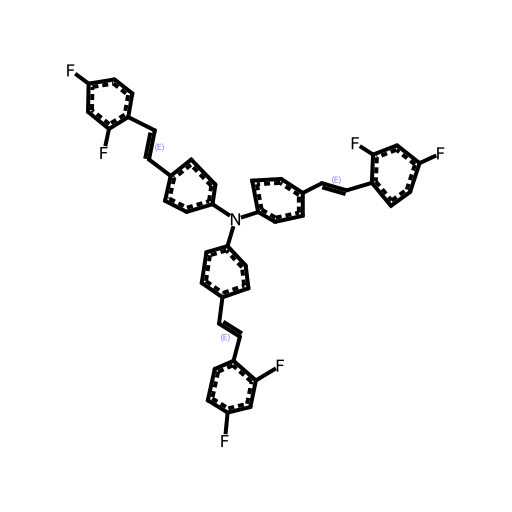 Fc1ccc(/C=C/c2ccc(N(c3ccc(/C=C/c4ccc(F)cc4F)cc3)c3ccc(/C=C/c4ccc(F)cc4F)cc3)cc2)c(F)c1